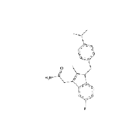 CC1=C(CC(N)=O)c2cc(F)ccc2C1Cc1ccc(C(C)C)cc1